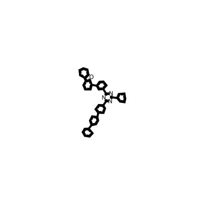 c1ccc(-c2ccc(-c3ccc(-c4nc(-c5ccccc5)nc(-c5cccc(-c6cccc7c6oc6ccccc67)c5)n4)cc3)cc2)cc1